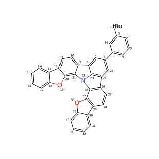 CC(C)(C)c1cccc(-c2cc3c4ccc5c6ccccc6oc5c4n4c3c(c2)c2ccc3c5ccccc5oc3c24)c1